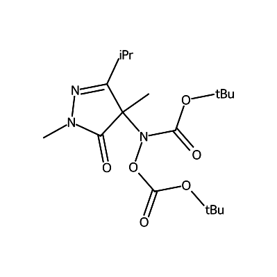 CC(C)C1=NN(C)C(=O)C1(C)N(OC(=O)OC(C)(C)C)C(=O)OC(C)(C)C